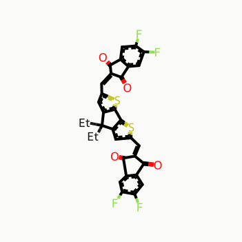 CCC1(CC)c2cc(C=C3C(=O)c4cc(F)c(F)cc4C3=O)sc2-c2sc(C=C3C(=O)c4cc(F)c(F)cc4C3=O)cc21